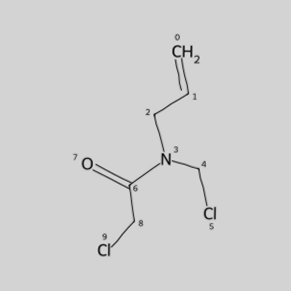 C=CCN(CCl)C(=O)CCl